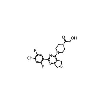 O=C(CO)N1CCN(c2nc(-c3cc(F)c(Cl)cc3F)nc3c2CSC3)CC1